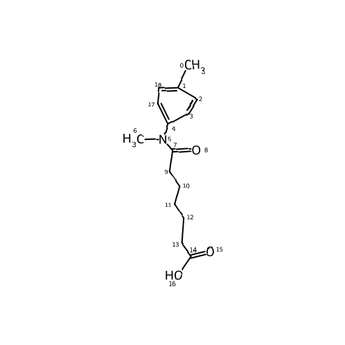 Cc1ccc(N(C)C(=O)CCCCCC(=O)O)cc1